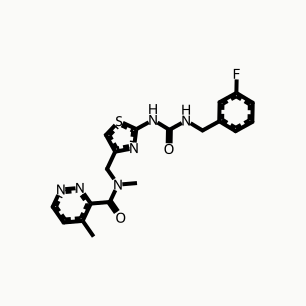 Cc1ccnnc1C(=O)N(C)Cc1csc(NC(=O)NCc2cccc(F)c2)n1